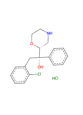 Cl.O[C@@](Cc1ccccc1Cl)(c1ccccc1)[C@H]1CNCCO1